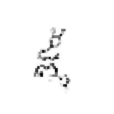 O=C(Cn1cc(CO)c2scc(-c3ccc(F)c(Cl)c3)c2c1=O)N1CCC(F)C1